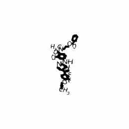 CC#CCOc1ccc(C2=CN=C3C(Nc4ccc(C(=O)N(C)CCCOC(=O)c5ccccc5)c(Cl)c4)=NC=CC23)c(F)c1F